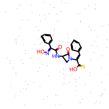 O=C(NC1CN(C(=Cc2ccccc2)C(O)=S)C1=O)C(=NO)c1ccccc1